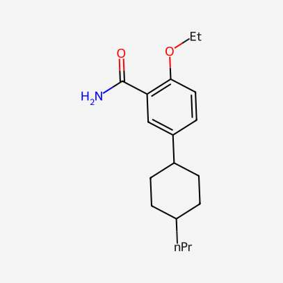 CCCC1CCC(c2ccc(OCC)c(C(N)=O)c2)CC1